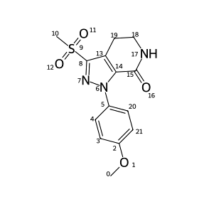 COc1ccc(-n2nc(S(C)(=O)=O)c3c2C(=O)NCC3)cc1